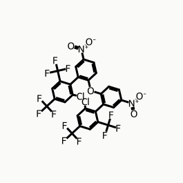 O=[N+]([O-])c1ccc(Oc2ccc([N+](=O)[O-])cc2-c2c(Cl)cc(C(F)(F)F)cc2C(F)(F)F)c(-c2c(Cl)cc(C(F)(F)F)cc2C(F)(F)F)c1